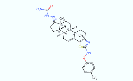 C[C@]12CCc3nc(NOc4ccc(C(F)(F)F)cc4)sc3C1=CC[C@@H]1[C@@H]2CC[C@]2(C)/C(=N/NC(N)=O)CC[C@@H]12